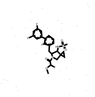 COC(F)C(=O)N1CC2(CC2)C(NS(C)(=O)=O)C1Cc1cccc(-c2cc(F)cc(F)c2)c1F